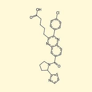 O=C(O)CCCCc1nc2cc(C(=O)N3CCCC3c3nccs3)ccc2nc1-c1ccc(Cl)cc1